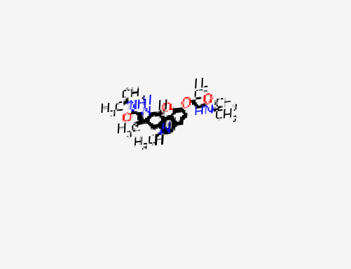 Cc1c(C(=O)NC(C)C)[nH]c2c1C[C@@H]1[C@@H]3Cc4ccc(OC(C)CC(=O)NC(C)C)c5c4[C@@]1(CCN3C)[C@H]2O5